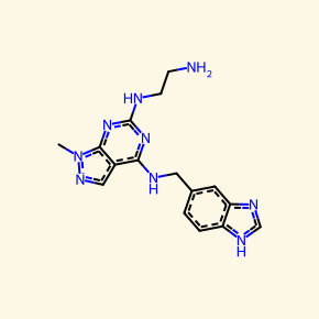 Cn1ncc2c(NCc3ccc4[nH]cnc4c3)nc(NCCN)nc21